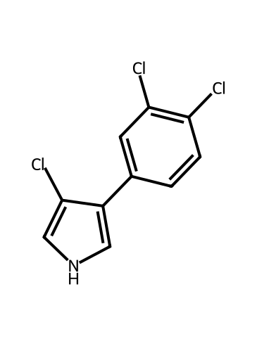 Clc1ccc(-c2c[nH]cc2Cl)cc1Cl